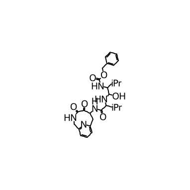 CC(C)C(NC(O)C(NC(=O)OCc1ccccc1)C(C)C)C(=O)NC1Cc2cccc(n2)CNC(=O)C1=O